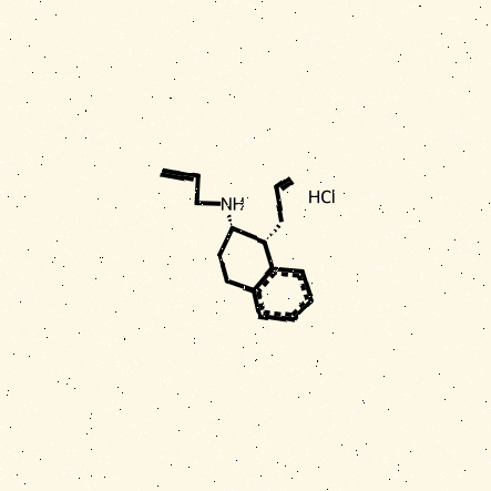 C=CCN[C@H]1CCc2ccccc2[C@H]1CC=C.Cl